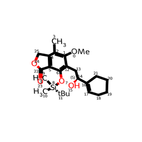 COc1c(C)c2c(c(O[Si](C)(C)C(C)(C)C)c1C[C@H](O)C1=CCCCC1)C(=O)OC2